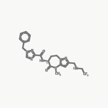 CN1C(=O)[C@@H](NC(=O)c2ncn(Cc3ccccc3)n2)CCn2nc(CNCC(F)(F)F)cc21